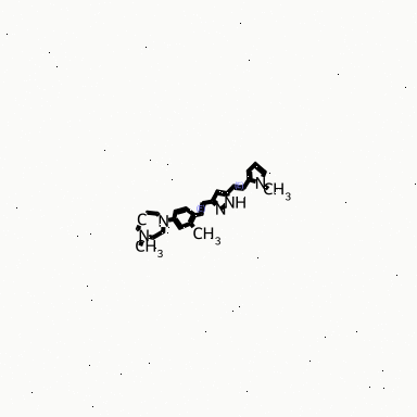 Cc1cc(N2CCCCN(C)CC2)ccc1/C=C/c1cc(/C=C/c2cccn2C)[nH]n1